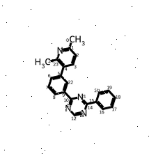 Cc1ccc(-c2cccc(-c3ncnc(-c4ccccc4)n3)c2)c(C)n1